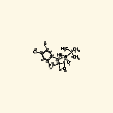 CC(C)(C)[S@+]([O-])N[C@@H](c1cc(F)c(Cl)cc1F)C1(F)COC1